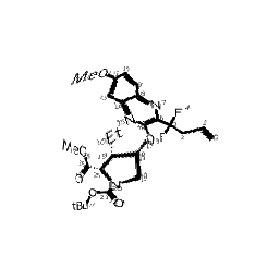 C=CCC(F)(F)c1nc2ccc(OC)cc2nc1O[C@H]1CN(C(=O)OC(C)(C)C)[C@H](C(=O)OC)[C@@H]1CC